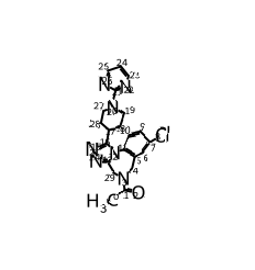 CC(=O)N1Cc2cc(Cl)ccc2-n2c(nnc2C2CCN(c3ncccn3)CC2)C1